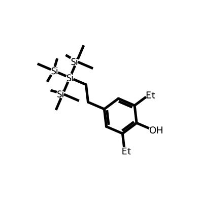 CCc1cc(CC[Si]([Si](C)(C)C)([Si](C)(C)C)[Si](C)(C)C)cc(CC)c1O